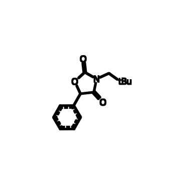 CC(C)(C)CN1C(=O)OC(c2ccccc2)C1=O